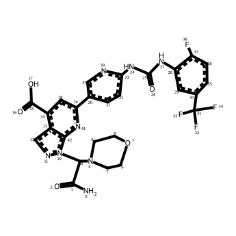 NC(=O)C(N1CCOCC1)n1ncc2c(C(=O)O)cc(-c3ccc(NC(=O)Nc4cc(C(F)(F)F)ccc4F)nc3)nc21